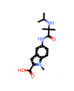 CC(C)NC(C)(C)C(=O)Nc1ccc2c(c1)cc(C(=O)O)n2C